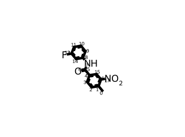 Cc1ccc(C(=O)Nc2cccc(F)c2)cc1[N+](=O)[O-]